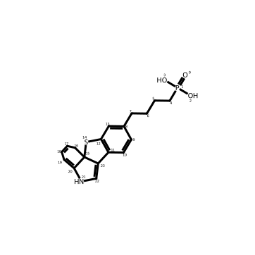 O=P(O)(O)CCCCc1ccc2c(c1)SC13CC=CC=C1NC=C23